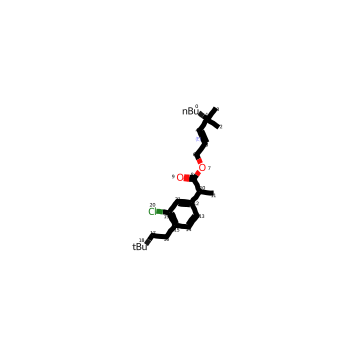 CCCCC(C)(C)/C=C/COC(=O)C(C)c1ccc(CCC(C)(C)C)c(Cl)c1